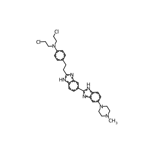 CN1CCN(c2ccc3[nH]c(-c4ccc5[nH]c(CCc6ccc(N(CCCl)CCCl)cc6)nc5c4)nc3c2)CC1